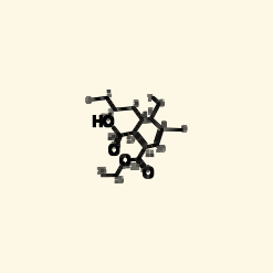 CCCCc1c(CC)c(C)cc(C(=O)OCC)c1C(=O)O